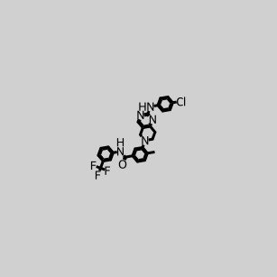 Cc1ccc(C(=O)Nc2cccc(C(F)(F)F)c2)cc1N1CCc2nc(Nc3ccc(Cl)cc3)ncc2C1